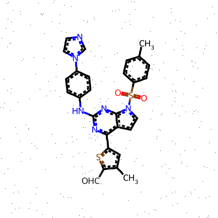 Cc1ccc(S(=O)(=O)n2ccc3c(-c4cc(C)c(C=O)s4)nc(Nc4ccc(-n5ccnc5)cc4)nc32)cc1